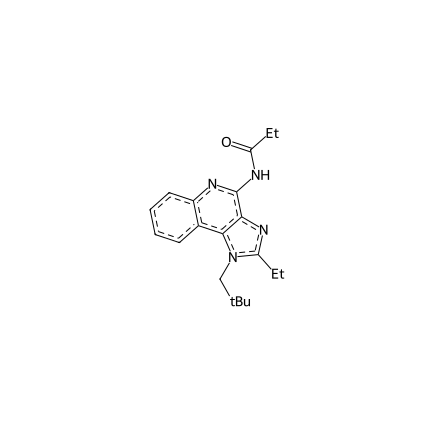 CCC(=O)Nc1nc2ccccc2c2c1nc(CC)n2CC(C)(C)C